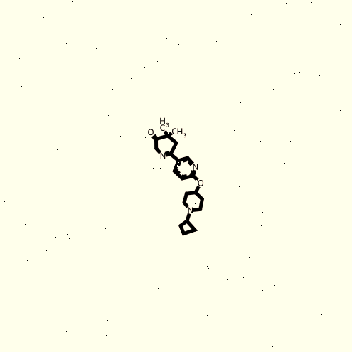 CC1(C)CC(c2ccc(OC3CCN(C4CCC4)CC3)nc2)=NCC1=O